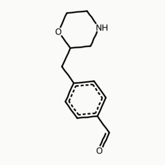 O=Cc1ccc(CC2CNCCO2)cc1